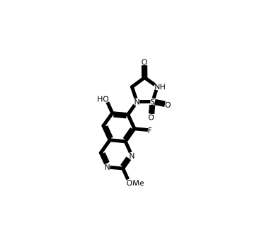 COc1ncc2cc(O)c(N3CC(=O)NS3(=O)=O)c(F)c2n1